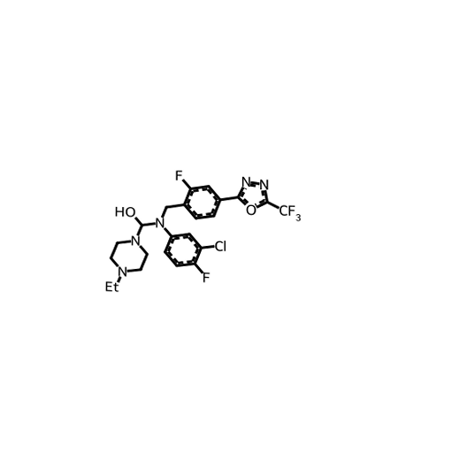 CCN1CCN(C(O)N(Cc2ccc(-c3nnc(C(F)(F)F)o3)cc2F)c2ccc(F)c(Cl)c2)CC1